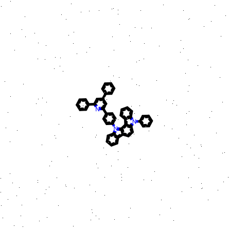 c1ccc(-c2cc(-c3ccccc3)nc(-c3ccc(-n4c5ccccc5c5ccc6c(c7ccccc7n6-c6ccccc6)c54)cc3)c2)cc1